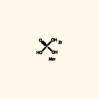 O=P(O)(O)O.[Mn].[Zr]